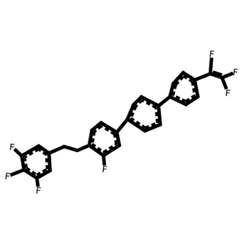 FC(F)=C(F)c1ccc(-c2ccc(-c3ccc(CCc4cc(F)c(F)c(F)c4)c(F)c3)cc2)cc1